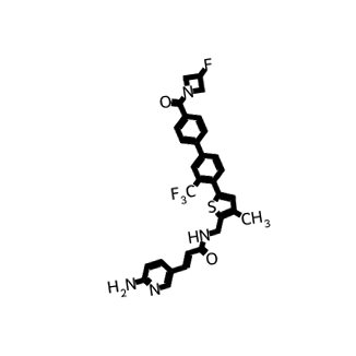 Cc1cc(-c2ccc(-c3ccc(C(=O)N4CC(F)C4)cc3)cc2C(F)(F)F)sc1CNC(=O)C=Cc1ccc(N)nc1